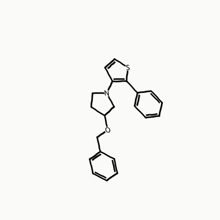 c1ccc(COC2CCN(c3ccsc3-c3ccccc3)C2)cc1